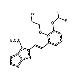 CCOC(=O)c1c(C=Cc2cccc(OC(F)F)c2OCCC(C)C)nc2sccn12